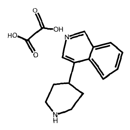 O=C(O)C(=O)O.c1ccc2c(C3CCNCC3)cncc2c1